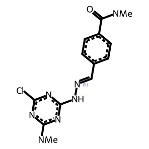 CNC(=O)c1ccc(/C=N/Nc2nc(Cl)nc(NC)n2)cc1